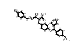 CCc1ccc(C(Oc2ccc(CC(C(=O)O)C(C)=NOCc3ccc(F)cc3)cc2)c2cn[nH]c2)cc1